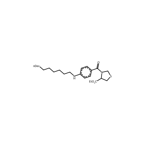 CCCCCCCCCCCCCCCCNc1ccc(C(=O)N2CSCC2C(=O)OCC)cc1